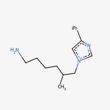 CC(CCCCN)Cn1cnc(C(C)C)c1